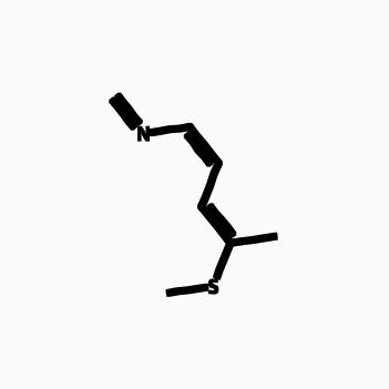 C=N/C=C\C=C(/C)SC